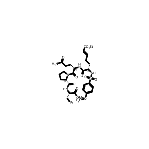 CCOC(=O)C=CCC[C@H](NS(=O)(=O)c1ccc(OC(F)(F)F)cc1)C(=O)N[C@@H](CCC(N)=O)C(=O)N1CCC[C@H]1C(=O)N[C@@H](CC(C)C)C(=O)OC